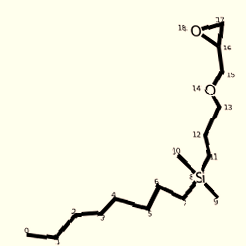 CCCCCCCC[Si](C)(C)CCCOCC1CO1